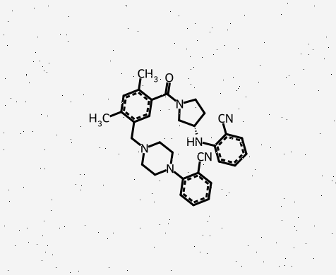 Cc1cc(C)c(C(=O)N2CC[C@H](Nc3ccccc3C#N)C2)cc1CN1CCN(c2ccccc2C#N)CC1